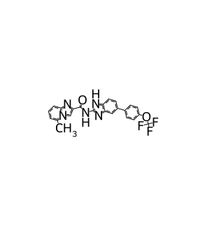 Cc1cccc2nc(C(=O)Nc3nc4cc(-c5ccc(OC(F)(F)F)cc5)ccc4[nH]3)cn12